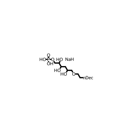 CCCCCCCCCCCCOCC(O)CC(O)C(O)COP(=O)(O)O.[NaH]